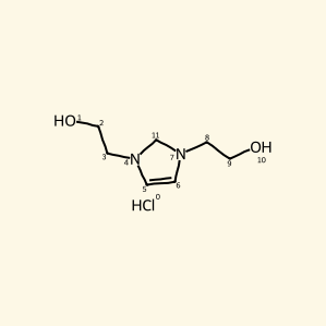 Cl.OCCN1C=CN(CCO)C1